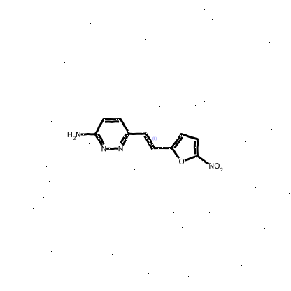 Nc1ccc(/C=C/c2ccc([N+](=O)[O-])o2)nn1